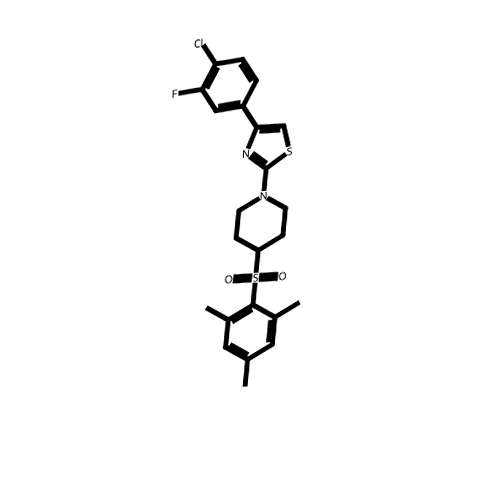 Cc1cc(C)c(S(=O)(=O)C2CCN(c3nc(-c4ccc(Cl)c(F)c4)cs3)CC2)c(C)c1